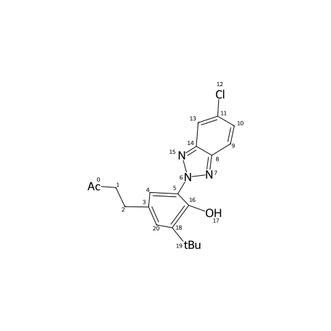 CC(=O)CCc1cc(-n2nc3ccc(Cl)cc3n2)c(O)c(C(C)(C)C)c1